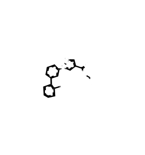 CCOC(=O)c1cnn(-c2cccc(-c3ccccc3Cl)c2)c1